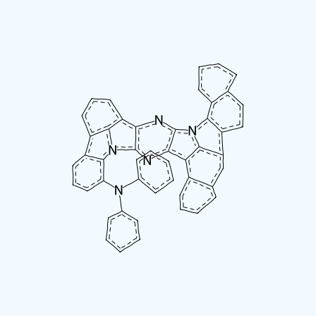 c1ccc(N(c2ccccc2)c2cccc3c4cccc5c6nc7c(nc6n(c23)c45)c2c3ccccc3cc3c4ccc5ccccc5c4n7c32)cc1